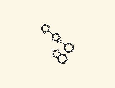 Oc1ccccc1.c1ccc2snnc2c1.c1csc(-c2cccs2)c1